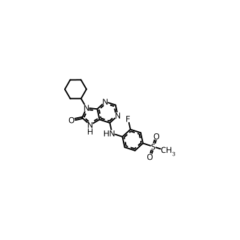 CS(=O)(=O)c1ccc(Nc2ncnc3c2[nH]c(=O)n3C2CCCCC2)c(F)c1